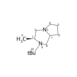 C[C@H]1CN2CCCC2CN1C(C)(C)C